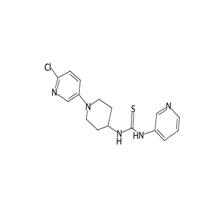 S=C(Nc1cccnc1)NC1CCN(c2ccc(Cl)nc2)CC1